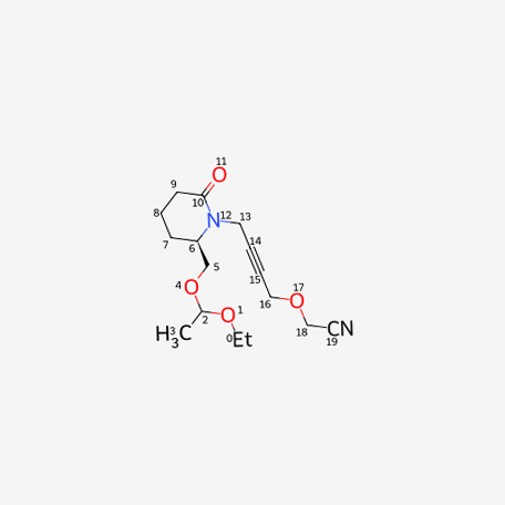 CCOC(C)OC[C@H]1CCCC(=O)N1CC#CCOCC#N